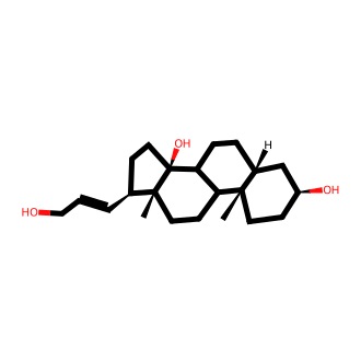 C[C@]12CC[C@H](O)C[C@H]1CCC1C2CC[C@]2(C)[C@@H](/C=C/CO)CC[C@]12O